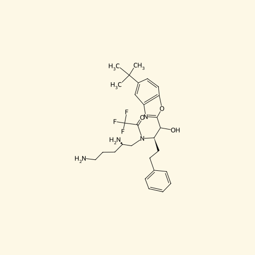 CC(C)(C)c1ccc2oc(C(O)[C@@H](CCc3ccccc3)N(C[C@H](N)CCCN)C(=O)C(F)(F)F)nc2c1